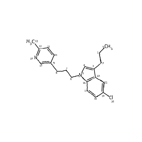 CCCc1cn(CCCc2ccc(C)nc2)c2ccc(Cl)cc12